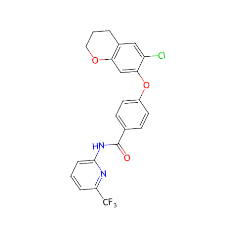 O=C(Nc1cccc(C(F)(F)F)n1)c1ccc(Oc2cc3c(cc2Cl)CCCO3)cc1